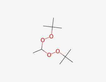 CC(OOC(C)(C)C)OOC(C)(C)C